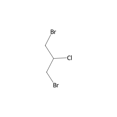 ClC(CBr)CBr